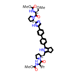 COC[C@H](NC(=O)OC)C(=O)N1CCC[C@H]1c1ncc(-c2ccc(-c3ccc(-c4[nH]c(C[C@@H]5CCCN5C(=O)C(NC(=O)OC)C(C)C)c5c4CCC5)cc3)cc2)[nH]1